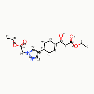 CCOC(=O)CC(=O)C1CCC(c2cnn(CC(=O)OCC)c2)CC1